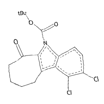 CC(C)(C)OC(=O)n1c2c(c3c(Cl)c(Cl)ccc31)CCCCC2=O